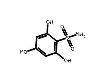 NS(=O)(=O)c1c(O)cc(O)cc1O